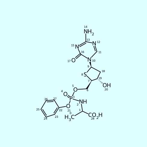 CC(NP(=O)(OC[C@H]1S[C@@H](n2cnc(N)nc2=O)C[C@@H]1O)Oc1ccccc1)C(=O)O